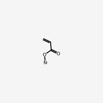 C=CC(=O)O[N]